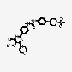 CSc1c(Cl)nc(-c2ccc(NC(=O)Nc3ccc(N4CCN(S(C)(=O)=O)CC4)cc3)cc2)nc1N1CCOCC1